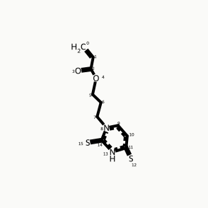 C=CC(=O)OCCCn1ccc(=S)[nH]c1=S